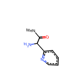 CNC(=O)C(N)c1ccccn1